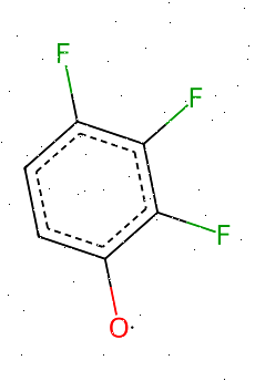 [O]c1ccc(F)c(F)c1F